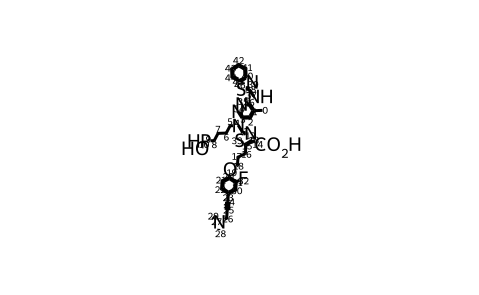 Cc1cc(N(CCCCPO)c2nc(C(=O)O)c(CCCOc3ccc(C#CCN(C)C)cc3F)s2)nnc1Nc1nc2ccccc2s1